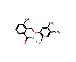 Cc1cc(C)c(OCc2c(C)cccc2C(=O)Cl)cc1C